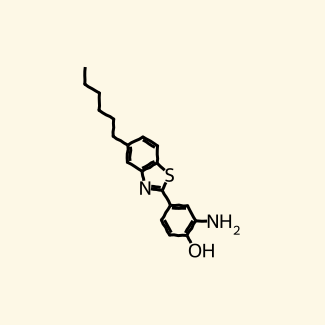 CCCCCCc1ccc2sc(-c3ccc(O)c(N)c3)nc2c1